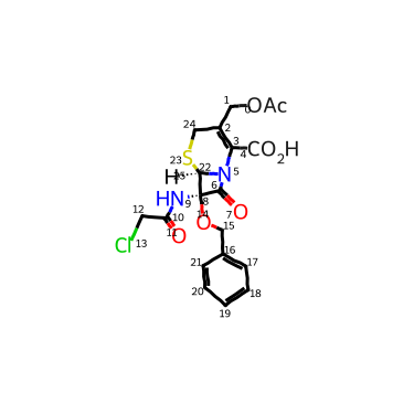 CC(=O)OCC1=C(C(=O)O)N2C(=O)[C@@](NC(=O)CCl)(OCc3ccccc3)[C@H]2SC1